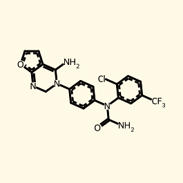 NC(=O)N(c1ccc(N2CN=c3occc3=C2N)cc1)c1cc(C(F)(F)F)ccc1Cl